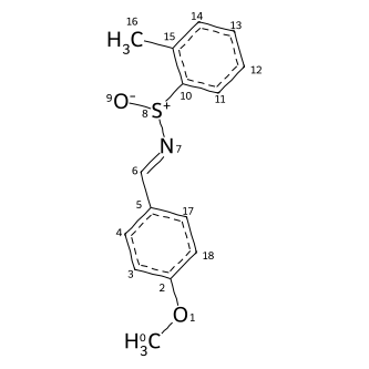 COc1ccc(/C=N/[S+]([O-])c2ccccc2C)cc1